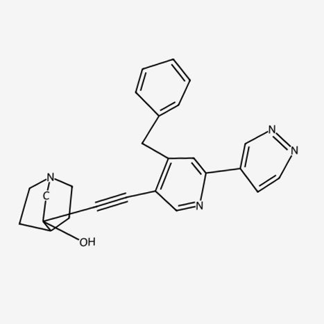 OC1(C#Cc2cnc(-c3ccnnc3)cc2Cc2ccccc2)CN2CCC1CC2